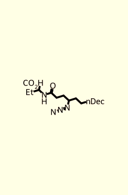 CCCCCCCCCCCCC(CCC(=O)NC(CC)C(=O)O)N=[N+]=[N-]